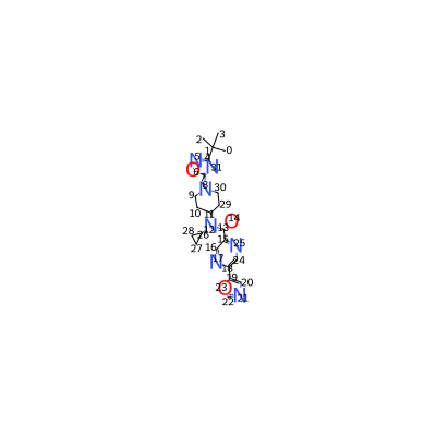 CC(C)(C)c1noc(N2CCC(N(C(=O)c3cnc(-c4cnco4)cn3)C3CC3)CC2)n1